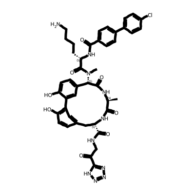 C[C@@H]1NC(=O)[C@@H](N(C)C(=O)[C@H](CCCCN)NC(=O)c2ccc(-c3ccc(Cl)cc3)cc2)c2ccc(O)c(c2)-c2cc(ccc2O)C[C@@H](C(=O)NCC(=O)c2nnn[nH]2)NC1=O